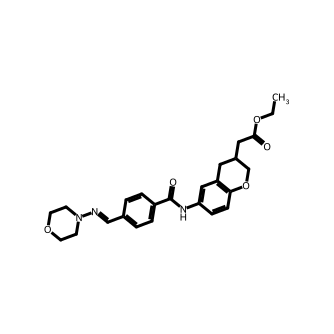 CCOC(=O)CC1COc2ccc(NC(=O)c3ccc(/C=N/N4CCOCC4)cc3)cc2C1